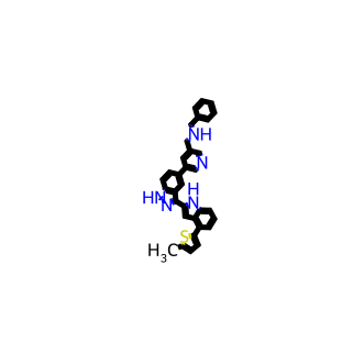 Cc1ccc(-c2cccc3[nH]c(-c4n[nH]c5ccc(-c6cncc(CNCc7ccccc7)c6)cc45)cc23)s1